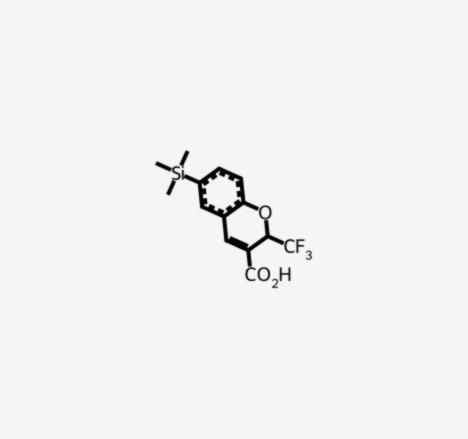 C[Si](C)(C)c1ccc2c(c1)C=C(C(=O)O)C(C(F)(F)F)O2